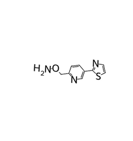 NOCc1ccc(-c2nccs2)cn1